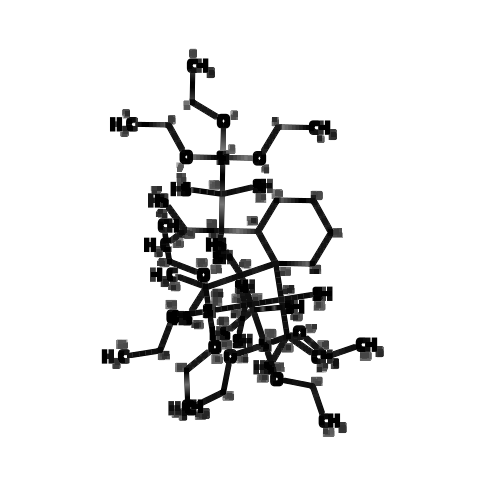 CCO[Si](OCC)(OCC)C(S)(S)C(S)(C(C)S)C1CCCCC1(C(S)(C(C)S)C(S)(S)[Si](OCC)(OCC)OCC)C(S)(C(C)S)C(S)(S)[Si](OCC)(OCC)OCC